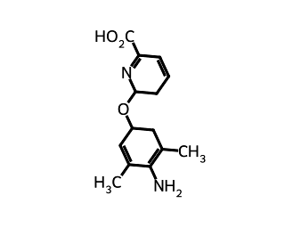 CC1=CC(OC2CC=CC(C(=O)O)=N2)CC(C)=C1N